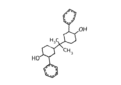 CC(C)(C1CCC(O)C(c2ccccc2)C1)C1CCC(O)C(c2ccccc2)C1